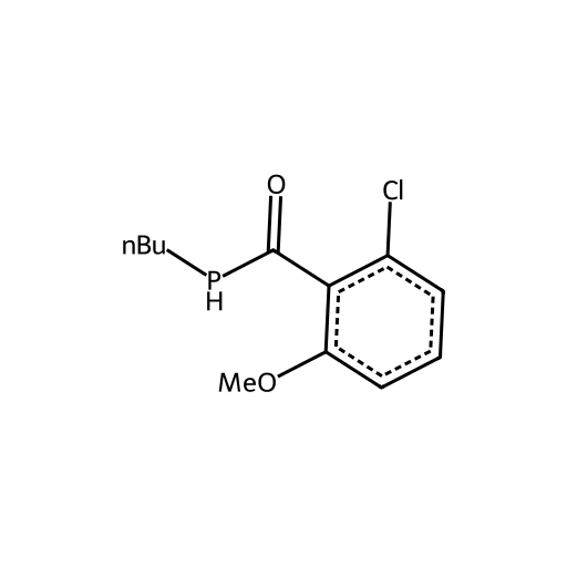 CCCCPC(=O)c1c(Cl)cccc1OC